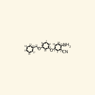 N#Cc1cc(Oc2cccc(OCc3ccccc3)c2)ccc1N